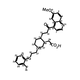 COc1ccc2nccc(C(=O)CC[C@@H]3CCN(CCSc4ncccc4F)C[C@@H]3CC(=O)O)c2c1